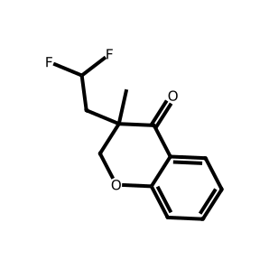 CC1(CC(F)F)COc2ccccc2C1=O